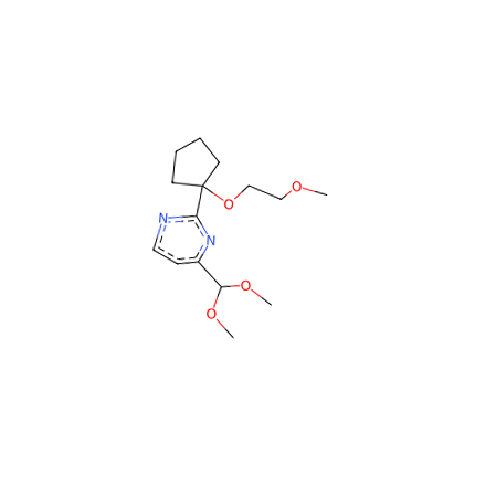 COCCOC1(c2nccc(C(OC)OC)n2)CCCC1